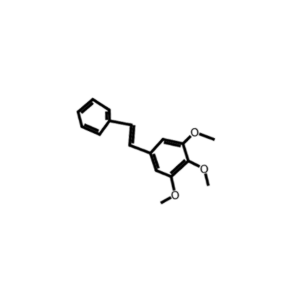 COc1cc(C=Cc2ccccc2)cc(OC)c1OC